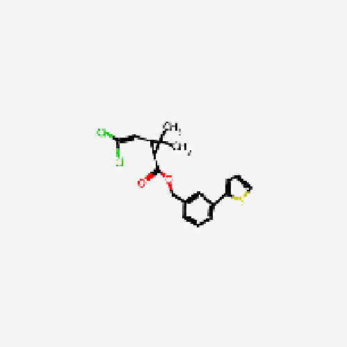 CC1(C)[C@H](C=C(Cl)Cl)[C@@H]1C(=O)OCc1cccc(-c2cccs2)c1